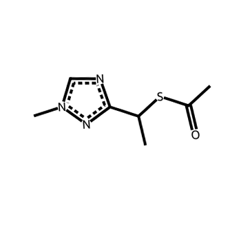 CC(=O)SC(C)c1ncn(C)n1